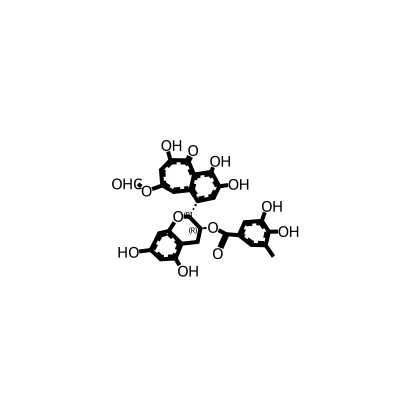 Cc1cc(C(=O)O[C@@H]2Cc3c(O)cc(O)cc3O[C@@H]2c2cc(O)c(O)c3c(=O)c(O)cc(OC=O)cc23)cc(O)c1O